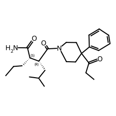 CCC[C@H](C(N)=O)[C@@H](CC(C)C)C(=O)N1CCC(C(=O)CC)(c2ccccc2)CC1